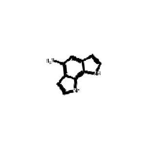 Nc1cc2cc[nH]c2c2[nH]ccc12